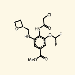 COC(=O)c1cc(NC[C@@H]2CCO2)c(NC(=O)CCl)c(OC(F)F)c1